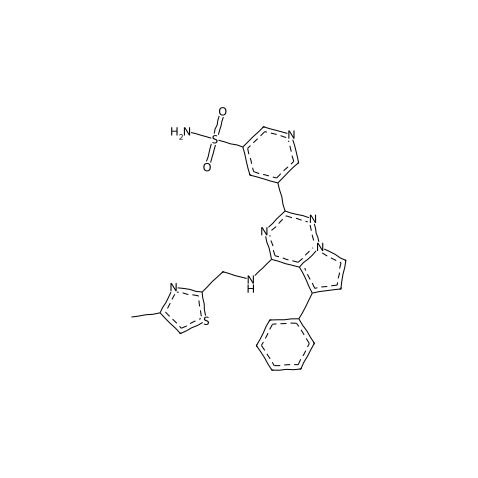 Cc1csc(CNc2nc(-c3cncc(S(N)(=O)=O)c3)nn3ccc(-c4ccccc4)c23)n1